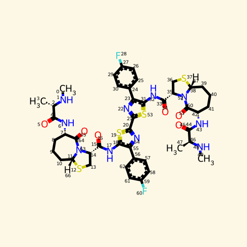 CN[C@@H](C)C(=O)N[C@H]1CCC[C@H]2SC[C@@H](C(=O)Nc3sc(-c4nc(-c5ccc(F)cc5)c(NC(=O)[C@@H]5CS[C@@H]6CCC[C@H](NC(=O)[C@H](C)NC)C(=O)N65)s4)nc3-c3ccc(F)cc3)N2C1=O